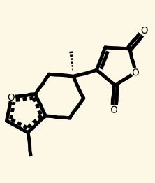 Cc1coc2c1CC[C@](C)(C1=CC(=O)OC1=O)C2